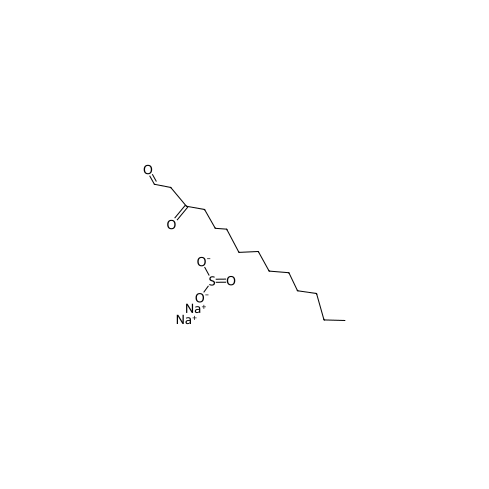 CCCCCCCCCCCC(=O)CC=O.O=S([O-])[O-].[Na+].[Na+]